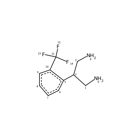 NCC(CN)c1ccccc1C(F)(F)F